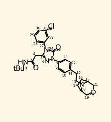 CC(C)(C)NC(=O)Cc1nn(-c2ccc(CCN3C4CCC3COC4)cc2)c(=O)n1-c1cccc(Cl)c1